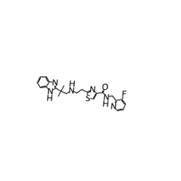 CC(C)(CNCCc1nc(C(=O)NCc2ncccc2F)cs1)c1nc2ccccc2[nH]1